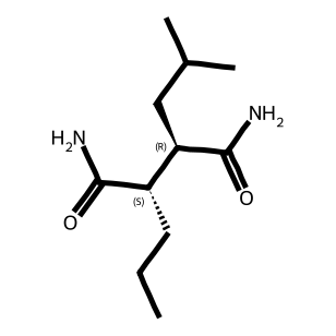 CCC[C@H](C(N)=O)[C@@H](CC(C)C)C(N)=O